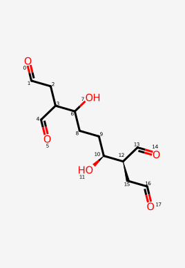 O=CCC(C=O)C(O)CC[C@H](O)[C@@H](C=O)CC=O